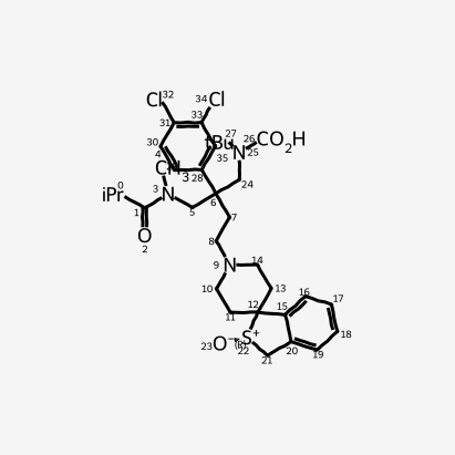 CC(C)C(=O)N(C)CC(CCN1CCC2(CC1)c1ccccc1C[S@+]2[O-])(CN(C(=O)O)C(C)(C)C)c1ccc(Cl)c(Cl)c1